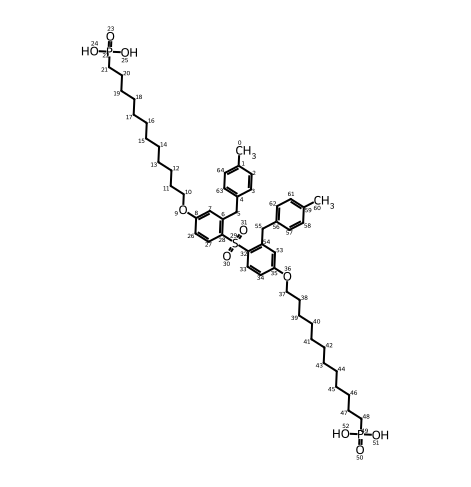 Cc1ccc(Cc2cc(OCCCCCCCCCCCCP(=O)(O)O)ccc2S(=O)(=O)c2ccc(OCCCCCCCCCCCCP(=O)(O)O)cc2Cc2ccc(C)cc2)cc1